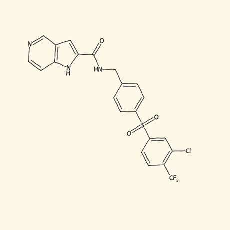 O=C(NCc1ccc(S(=O)(=O)c2ccc(C(F)(F)F)c(Cl)c2)cc1)c1cc2cnccc2[nH]1